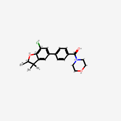 [2H]C1([2H])c2cc(-c3ccc(C(=O)N4CCOCC4)cc3)cc(Cl)c2OC1CC